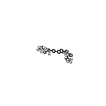 COC(=O)NC(C(=O)N1CCCC1c1ncc(-c2ccc(-c3ccc4cc(-c5cnc(C6C7CCC(C7)N6C(=O)C(NC(=O)OC)C(C)C)[nH]5)ccc4c3)cc2)[nH]1)C(C)C